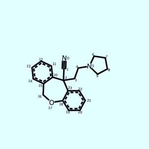 N#CC1(CCN2CCCC2)c2ccccc2COc2ccccc21